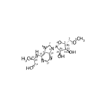 COC[C@H]1O[C@@H](n2cnc3c(N[C@H](C)CO)ncnc32)[C@H](O)[C@@H]1O